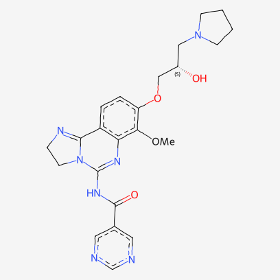 COc1c(OC[C@@H](O)CN2CCCC2)ccc2c1N=C(NC(=O)c1cncnc1)N1CCN=C21